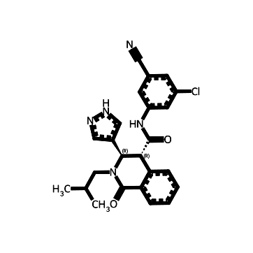 CC(C)CN1C(=O)c2ccccc2[C@@H](C(=O)Nc2cc(Cl)cc(C#N)c2)[C@@H]1c1cn[nH]c1